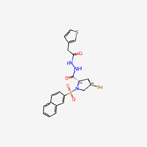 O=C(Cc1ccsc1)NNC(=O)[C@@H]1C[C@@H](S)CN1S(=O)(=O)c1ccc2ccccc2c1